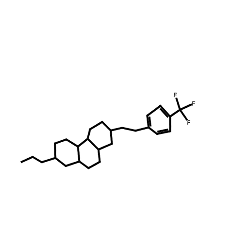 CCCC1CCC2C(CCC3CC(CCc4ccc(C(F)(F)F)cc4)CCC32)C1